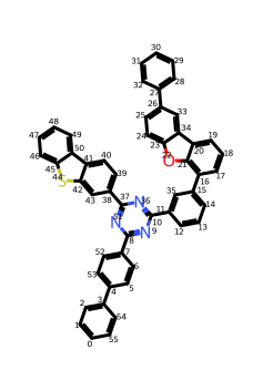 c1ccc(-c2ccc(-c3nc(-c4cccc(-c5cccc6c5oc5ccc(-c7ccccc7)cc56)c4)nc(-c4ccc5c(c4)sc4ccccc45)n3)cc2)cc1